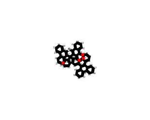 c1ccc(-c2c(-c3ccc(C4(c5ccccc5)c5c(c6ccccc6c6ccccc56)Sc5c4c4ccccc4c4ccccc54)cc3)c3ccccc3c3ccccc23)cc1